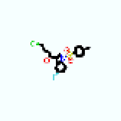 Cc1ccc(S(=O)(=O)n2cc(C(=O)CCCCl)c3cc(F)ccc32)cc1